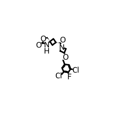 O=C1N[C@]2(CO1)C[C@@H](C(=O)N1CC(OCc3cc(Cl)c(F)c(Cl)c3)C1)C2